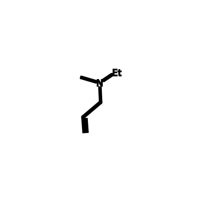 [CH2]CN(C)CC=C